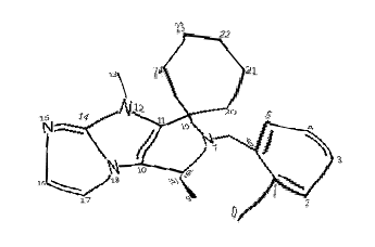 Cc1ccccc1N1[C@@H](C)c2c(n(C)c3nccn23)C12CCCCC2